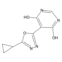 Oc1ncnc(O)c1-c1nnc(C2CC2)o1